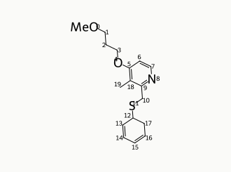 COCCCOc1ccnc(CSC2C=CC=CC2)c1C